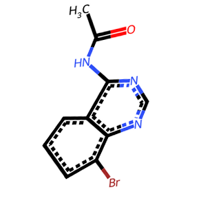 CC(=O)Nc1ncnc2c(Br)cccc12